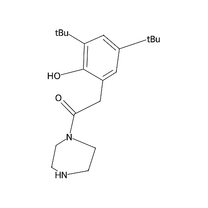 CC(C)(C)c1cc(CC(=O)N2CCNCC2)c(O)c(C(C)(C)C)c1